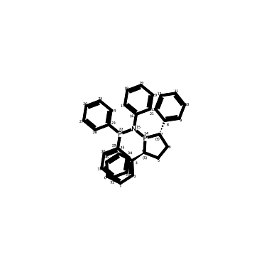 c1ccc([C@@H]2CC[C@@H](c3ccccc3)P2N(c2ccccc2)P(c2ccccc2)c2ccccc2)cc1